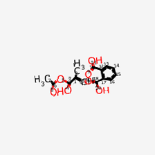 C=C(C)C(=O)OC(C)O.O=C(O)c1ccccc1C(=O)O